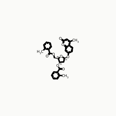 Cc1ccccc1C(=O)OC[C@H]1O[C@@H](Oc2ccc3c(C)cc(=O)oc3c2)C[C@@H]1OC(=O)c1ccccc1C